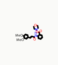 COc1ccc(/C=C/C(=O)Nc2ccccc2C(=O)ON2CCOCC2)cc1OC